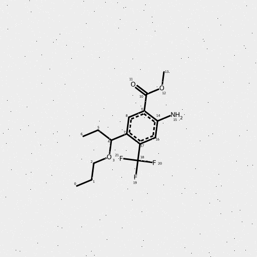 CCCOC(CC)c1cc(C(=O)OC)c(N)cc1C(F)(F)F